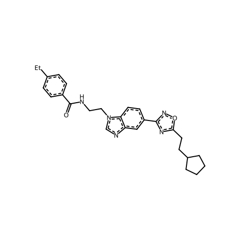 CCc1ccc(C(=O)NCCn2cnc3cc(-c4noc(CCC5CCCC5)n4)ccc32)cc1